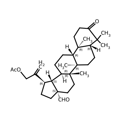 C=C(COC(C)=O)[C@@H]1CC[C@]2(C=O)CC[C@]3(C)[C@H](CC[C@@H]4[C@@]5(C)CCC(=O)C(C)(C)[C@@H]5CC[C@]43C)[C@@H]12